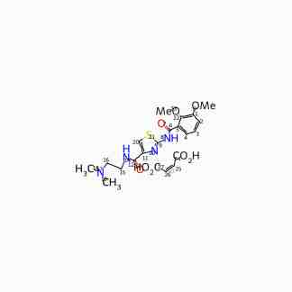 COc1cccc(C(=O)Nc2nc(C(=O)NCCN(C)C)cs2)c1OC.O=C(O)/C=C\C(=O)O